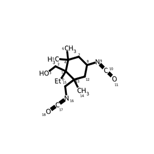 CCC1(CO)C(C)(C)CC(N=C=O)CC1(C)CN=C=O